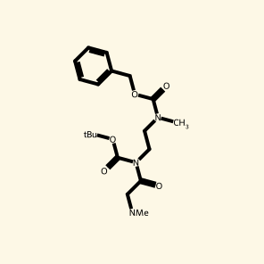 CNCC(=O)N(CCN(C)C(=O)OCc1ccccc1)C(=O)OC(C)(C)C